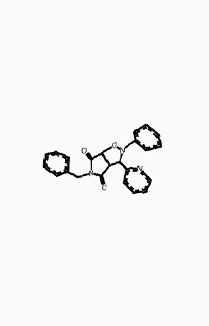 O=C1C2ON(c3ccccc3)C(c3ccccn3)C2C(=O)N1Cc1ccccc1